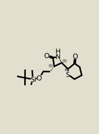 CC(C)(C)[Si](C)(C)OCC[C@@H]1C(=O)N[C@@H]1[C@H]1SCCCC1=O